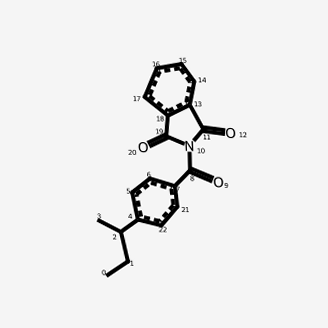 CCC(C)c1ccc(C(=O)N2C(=O)c3ccccc3C2=O)cc1